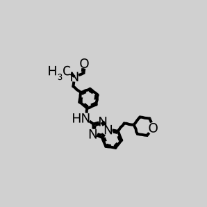 CN(C=O)Cc1cccc(Nc2nc3cccc(CC4CCOCC4)n3n2)c1